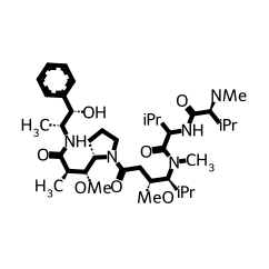 CN[C@H](C(=O)NC(C(=O)N(C)[C@@H](C(C)C)[C@@H](CC(=O)N1CCC[C@H]1[C@H](OC)[C@@H](C)C(=O)N[C@H](C)[C@@H](O)c1ccccc1)OC)C(C)C)C(C)C